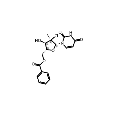 C[C@@]1(Cl)[C@H](O)[C@@H](COC(=O)c2ccccc2)O[C@H]1n1ccc(=O)[nH]c1=O